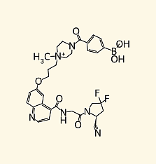 C[N+]1(CCCOc2ccc3nccc(C(=O)NCC(=O)N4CC(F)(F)C[C@H]4C#N)c3c2)CCN(C(=O)c2ccc(B(O)O)cc2)CC1